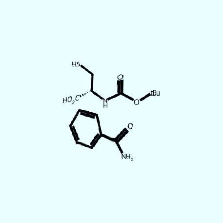 CC(C)(C)OC(=O)N[C@@H](CS)C(=O)O.NC(=O)c1ccccc1